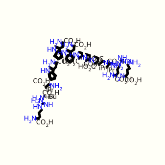 CC(C)C[C@H](N)C(=O)O.CC(C)C[C@H](N)C(=O)O.CC(C)C[C@H](N)C(=O)O.CC[C@H](C)[C@H](N)C(=O)O.N=C(N)NCCC[C@H](N)C(=O)O.N=C(N)NCCC[C@H](N)C(=O)O.NCCCC[C@H](N)C(=O)O.N[C@@H](Cc1c[nH]c2ccccc12)C(=O)O.N[C@@H](Cc1c[nH]c2ccccc12)C(=O)O.N[C@@H](Cc1c[nH]c2ccccc12)C(=O)O.O=C(O)[C@@H]1CCCN1.O=C(O)[C@@H]1CCCN1.O=C(O)[C@@H]1CCCN1